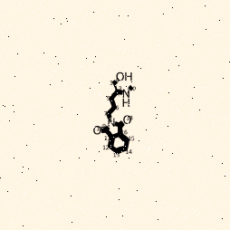 CN[C@H](CO)CCCN1C(=O)c2ccccc2C1=O